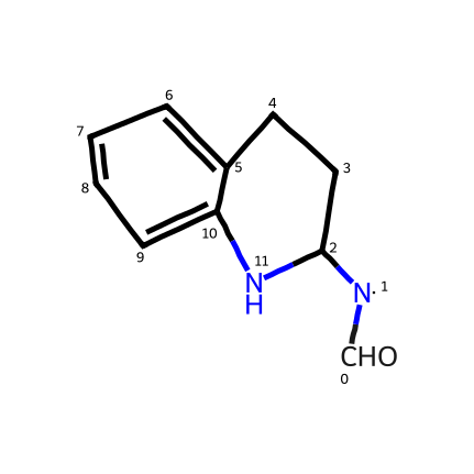 O=C[N]C1CCc2ccccc2N1